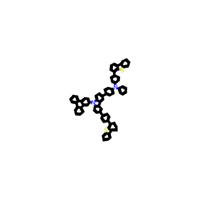 c1ccc(N(c2ccc(-c3ccc4c(c3)c3cc(-c5ccc(-c6cccc7c6sc6ccccc67)cc5)ccc3n4-c3ccc4c5ccccc5c5ccccc5c4c3)cc2)c2ccc(-c3cccc4c3sc3ccccc34)cc2)cc1